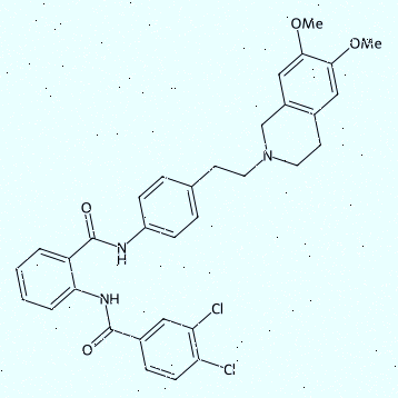 COc1cc2c(cc1OC)CN(CCc1ccc(NC(=O)c3ccccc3NC(=O)c3ccc(Cl)c(Cl)c3)cc1)CC2